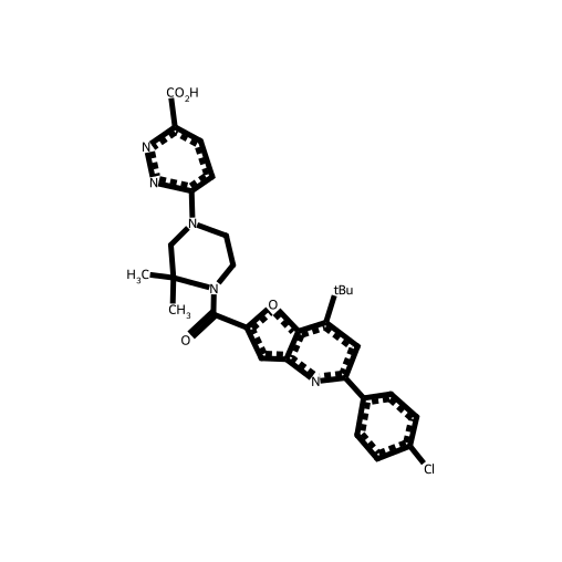 CC(C)(C)c1cc(-c2ccc(Cl)cc2)nc2cc(C(=O)N3CCN(c4ccc(C(=O)O)nn4)CC3(C)C)oc12